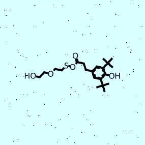 CC(C)(C)c1cc(CCC(=O)OSCCOCCO)cc(C(C)(C)C)c1O